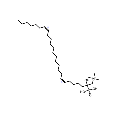 CCCCCC/C=C\CCCCCCCCCC/C=C\CCCCC(O)(C[N+](C)(C)C)P(=O)(O)O